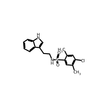 Cc1cc(S(=O)(=O)NCCc2c[nH]c3ccccc23)c(C)cc1Cl